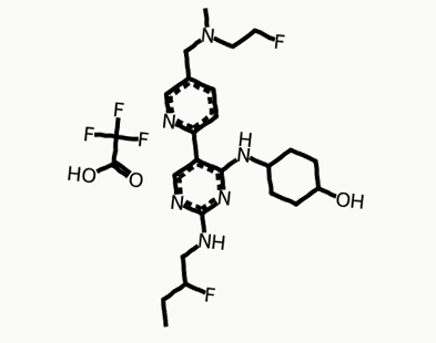 CCC(F)CNc1ncc(-c2ccc(CN(C)CCF)cn2)c(NC2CCC(O)CC2)n1.O=C(O)C(F)(F)F